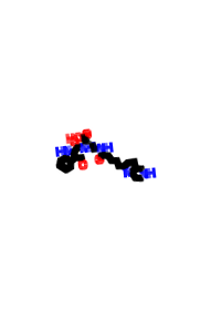 O=Cc1c(C(=O)N[C@@H](CCNC(=O)CCCCc2ccc3c(n2)CCNC3)C(=O)O)[nH]c2ccccc12